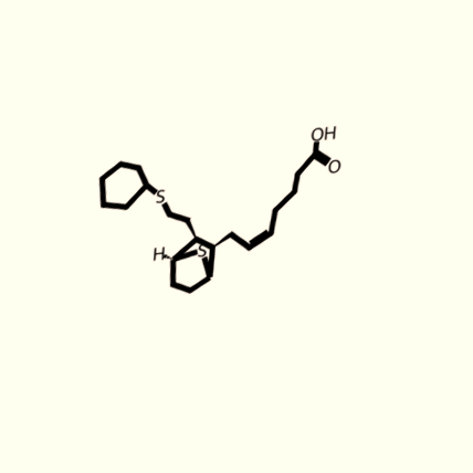 O=C(O)CCC/C=C\C[C@H]1C2CC[C@H](S2)[C@H]1CCSC1CCCCC1